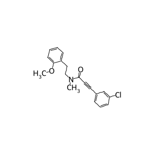 COc1ccccc1CCN(C)C(=O)C#Cc1cccc(Cl)c1